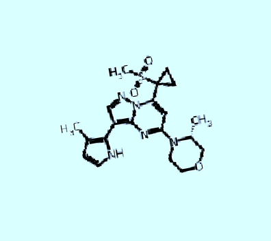 Cc1cc[nH]c1-c1cnn2c(C3(S(C)(=O)=O)CC3)cc(N3CCOC[C@H]3C)nc12